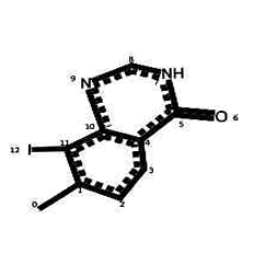 Cc1ccc2c(=O)[nH]cnc2c1I